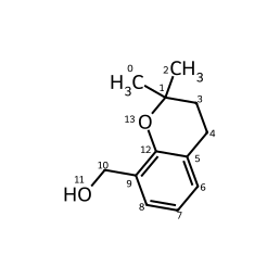 CC1(C)CCc2cccc(CO)c2O1